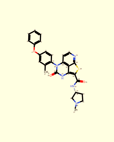 Cc1cc(Oc2ccccc2)ccc1N1C(=O)Nc2c(C(=O)N[C@@H]3CCN(C(C)C)C3)sc3nccc1c23